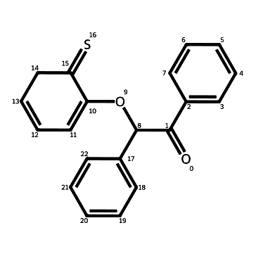 O=C(c1ccccc1)C(OC1=CC=CCC1=S)c1ccccc1